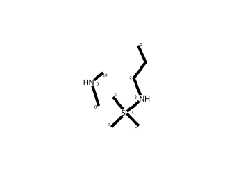 CCCN[Si](C)(C)C.CNC